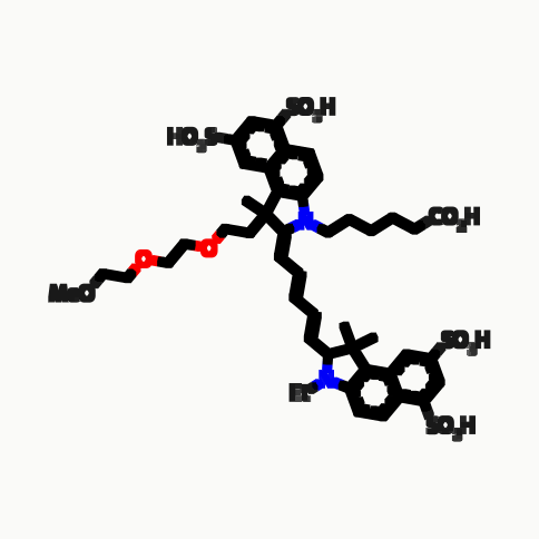 CCN1c2ccc3c(S(=O)(=O)O)cc(S(=O)(=O)O)cc3c2C(C)(C)C1C=CC=CC=C1N(CCCCCC(=O)O)c2ccc3c(S(=O)(=O)O)cc(S(=O)(=O)O)cc3c2C1(C)CCOCCOCCOC